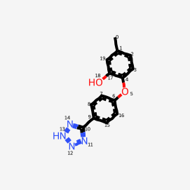 Cc1ccc(Oc2ccc(-c3nn[nH]n3)cc2)c(O)c1